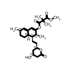 COC(=O)C(C)(C)C(=O)OC1=CC2=C[C@H](C)CC[C@@H]2[C@H](CC[C@@H]2C[C@@H](O)CC(=O)O2)[C@@H]1C